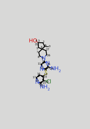 C[C@@H]1C[C@H](O)CC12CCN(c1cnc(Sc3ccnc(N)c3Cl)c(N)n1)CC2